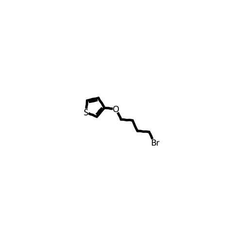 BrCCCCOc1ccsc1